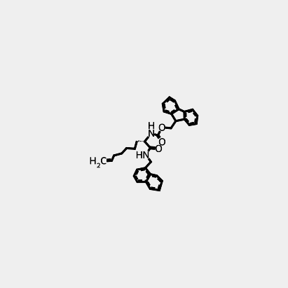 C=CCCCCC[C@H](NC(=O)OCC1c2ccccc2-c2ccccc21)C(=O)NCc1cccc2ccccc12